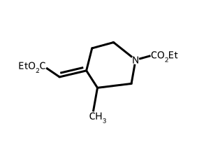 CCOC(=O)/C=C1\CCN(C(=O)OCC)CC1C